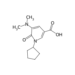 CN(C)c1cc(C(=O)O)cn(C2CCCC2)c1=O